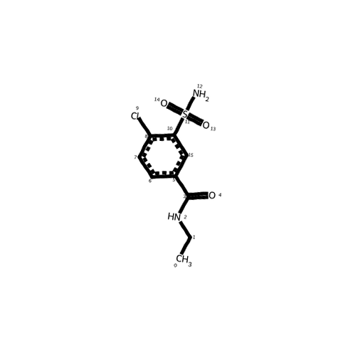 CCNC(=O)c1ccc(Cl)c(S(N)(=O)=O)c1